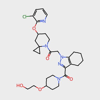 O=C(c1nn(CC(=O)N2CCC(Oc3ncccc3Cl)CC23CC3)c2c1CCCC2)N1CCC(OCCO)CC1